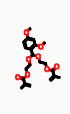 C=C(C)C(=O)OCCOC(OCCOC(=O)C(=C)C)c1ccc(OC)cc1OC